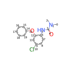 CN(C)C(=O)Nc1ccc(Cl)cc1Oc1ccccc1